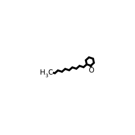 CCCCCCCCCCC1CCCCC1=O